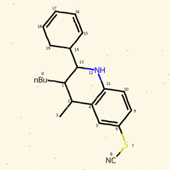 CCCCC1C(C)c2cc(SC#N)ccc2NC1C1C=CC=CC1